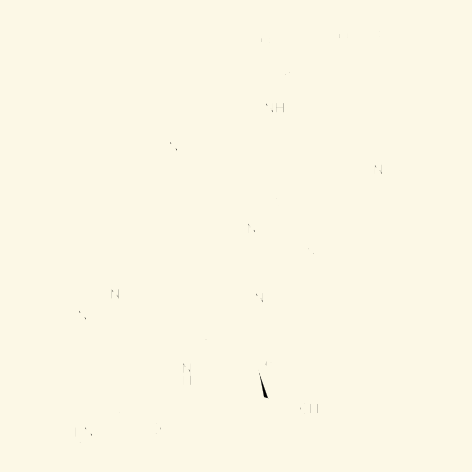 CC[C@@H]1CN(c2ncc(C#N)s2)C[C@H]1Nc1c(C(N)=O)cnn2cc(-c3ccc(CNC(=O)COC)nc3)cc12